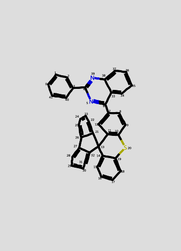 c1ccc(-c2nc(-c3ccc4c(c3)C3(c5ccccc5S4)c4ccccc4-c4ccccc43)c3ccccc3n2)cc1